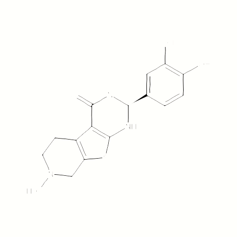 CN1CCc2c(sc3c2C(=O)N[C@@H](c2ccc(O)c(O)c2)N3)C1